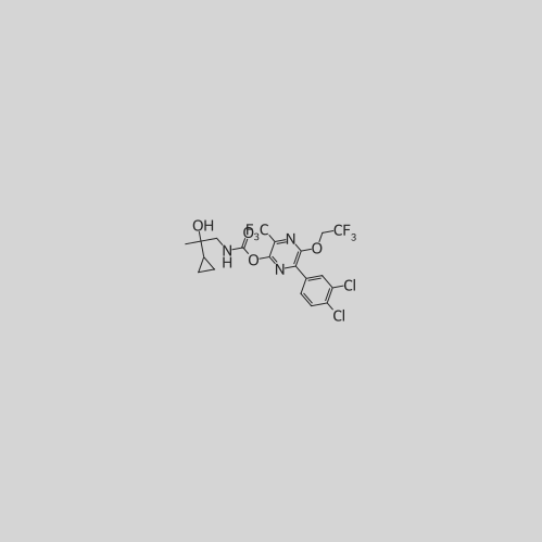 CC(O)(CNC(=O)Oc1nc(-c2ccc(Cl)c(Cl)c2)c(OCC(F)(F)F)nc1C(F)(F)F)C1CC1